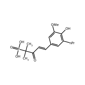 CCCc1cc(C=CC(=O)C(C)(C)P(=O)(O)O)cc(OC)c1O